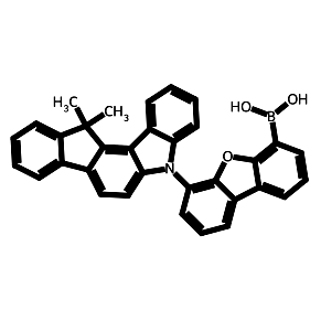 CC1(C)c2ccccc2-c2ccc3c(c21)c1ccccc1n3-c1cccc2c1oc1c(B(O)O)cccc12